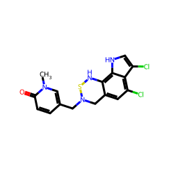 Cn1cc(CN2Cc3cc(Cl)c4c(Cl)c[nH]c4c3NS2)ccc1=O